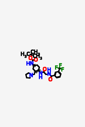 CC(C)(C)OC(=O)N[C@@H]1CC[C@H](NC(=O)CNC(=O)c2cccc(C(F)(F)F)c2)[C@@H](CN2CCCC2)C1